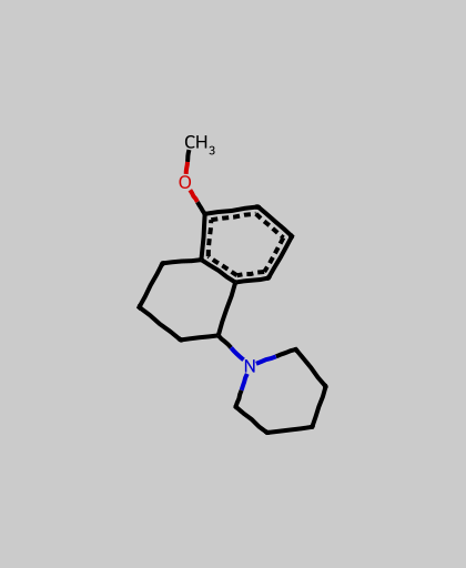 COc1cccc2c1CCCC2N1CCCCC1